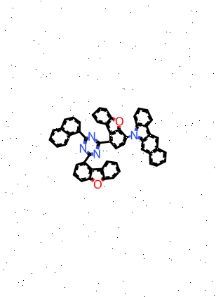 c1ccc2cc3c(cc2c1)c1ccccc1n3-c1ccc(-c2nc(-c3cccc4ccccc34)nc(-c3cccc4oc5ccccc5c34)n2)c2c1oc1ccccc12